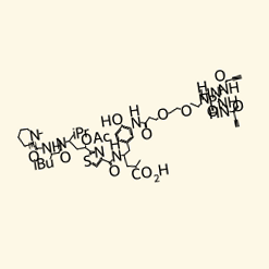 C#CC(=O)NNP(=O)(NCCOCCOCCC(=O)Nc1cc(CC(CC(C)C(=O)O)NC(=O)c2csc(C(CC(C(C)C)N(C)C(=O)C(NC(=O)[C@H]3CCCCN3C)C(C)CC)OC(C)=O)n2)ccc1O)NNC(=O)C#C